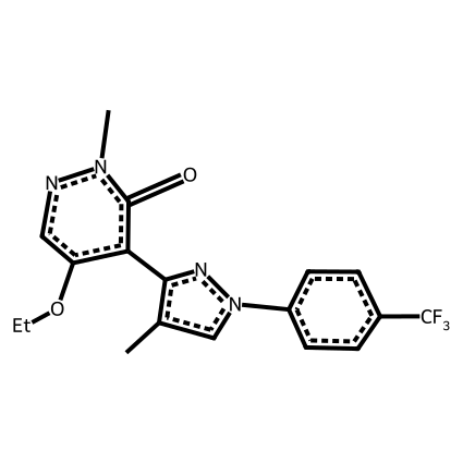 CCOc1cnn(C)c(=O)c1-c1nn(-c2ccc(C(F)(F)F)cc2)cc1C